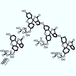 N.N.N.N.O=C1OC2(c3ccc(O)cc3Oc3cc(OP(=O)(O)OP(=O)(O)O)ccc32)c2ccccc21.O=C1OC2(c3ccc(O)cc3Oc3cc(OP(=O)(O)OP(=O)(O)O)ccc32)c2ccccc21.O=C1OC2(c3ccc(O)cc3Oc3cc(OP(=O)(O)OP(=O)(O)O)ccc32)c2ccccc21.O=C1OC2(c3ccc(O)cc3Oc3cc(OP(=O)(O)OP(=O)(O)O)ccc32)c2ccccc21